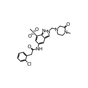 CN1CCN(Cn2cc3cc(NC(=O)Cc4ccccc4Cl)cc(S(C)(=O)=O)c3n2)CC1=O